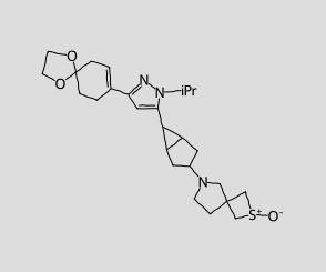 CC(C)n1nc(C2=CCC3(CC2)OCCO3)cc1C1C2CC(N3CCC4(C3)C[S+]([O-])C4)CC21